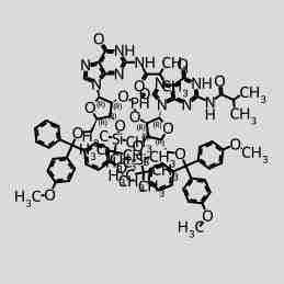 COc1ccc(C(OC[C@H]2O[C@@H](n3cnc4c(=O)[nH]c(NC(=O)C(C)C)nc43)[C@H](O[PH](=O)O[C@@H]3[C@H](O[Si](C)(C)C(C)(C)C)[C@@H](COC(c4ccccc4)(c4ccc(OC)cc4)c4ccc(OC)cc4)O[C@H]3n3cnc4c(=O)[nH]c(NC(=O)C(C)C)nc43)[C@@H]2O[Si](C)(C)C(C)(C)C)(c2ccccc2)c2ccc(OC)cc2)cc1